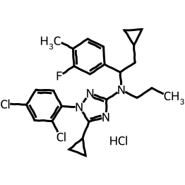 CCCN(c1nc(C2CC2)n(-c2ccc(Cl)cc2Cl)n1)C(CC1CC1)c1ccc(C)c(F)c1.Cl